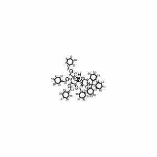 O=CC(O)(COCc1ccccc1)[C@@H](OCc1ccccc1)[C@H](OCc1ccccc1)[C@@H](OCc1ccccc1)C(=O)N1CCN(C(c2ccccc2)(c2ccccc2)c2ccccc2)CC1